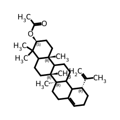 C=C(C)[C@@H]1CCC=C2CC[C@]3(C)C(CCC4[C@@]5(C)CC[C@H](OC(C)=O)C(C)(C)C5CC[C@]43C)C21